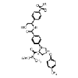 CCS(=O)(=O)c1ccc(C(CO)NC(=O)c2ccc(N3C[C@H](Oc4ccc(C(F)(F)F)cc4)C[C@H]3C(=O)N(C)OC)cc2)cc1